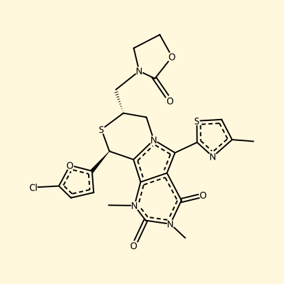 Cc1csc(-c2c3c(=O)n(C)c(=O)n(C)c3c3n2C[C@@H](CN2CCOC2=O)S[C@@H]3c2ccc(Cl)o2)n1